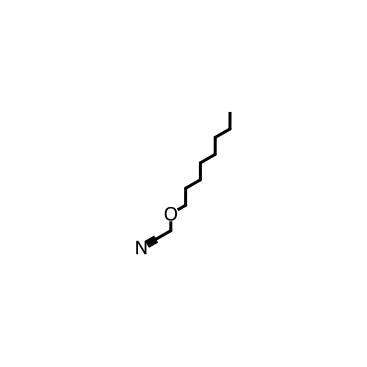 CCCCCCCCOCC#N